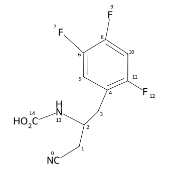 N#CCC(Cc1cc(F)c(F)cc1F)NC(=O)O